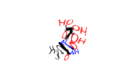 Cc1cn([C@@H]2O[C@H](CO)[C@H](O)[C@@H]2O)c(=O)[nH]c1=O